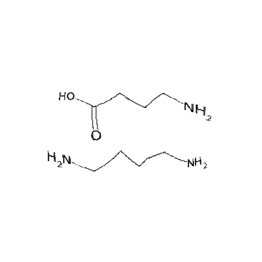 NCCCC(=O)O.NCCCCN